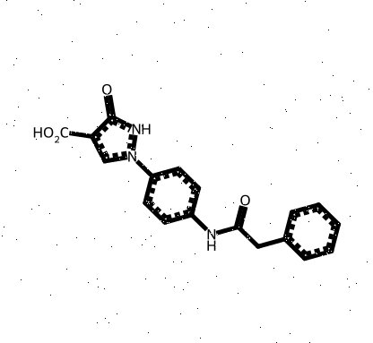 O=C(Cc1ccccc1)Nc1ccc(-n2cc(C(=O)O)c(=O)[nH]2)cc1